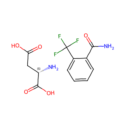 NC(=O)c1ccccc1C(F)(F)F.N[C@@H](CC(=O)O)C(=O)O